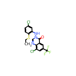 CCSc1ccc(Cl)cc1Nn1cnc2c(Cl)cc(C(F)(F)F)cc2c1=O